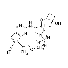 [2H]C([2H])([2H])n1cc(Nc2ncc3cc(C#N)n([C@@H](C)COC)c3n2)c(O[C@@H]2CC[C@]2(C)O)n1